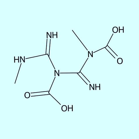 CNC(=N)N(C(=N)N(C)C(=O)O)C(=O)O